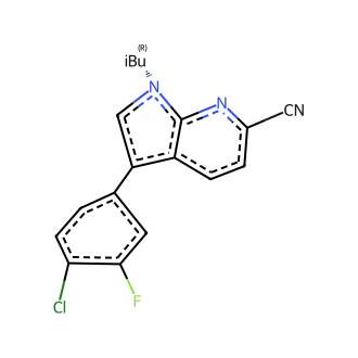 CC[C@@H](C)n1cc(-c2ccc(Cl)c(F)c2)c2ccc(C#N)nc21